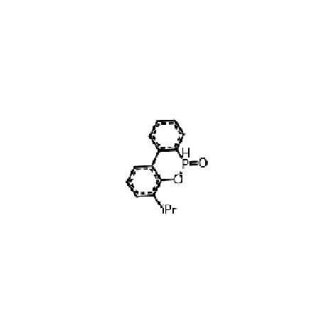 CC(C)c1cccc2c1O[PH](=O)c1ccccc1-2